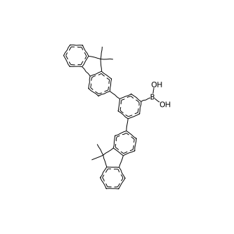 CC1(C)c2ccccc2-c2ccc(-c3cc(B(O)O)cc(-c4ccc5c(c4)C(C)(C)c4ccccc4-5)c3)cc21